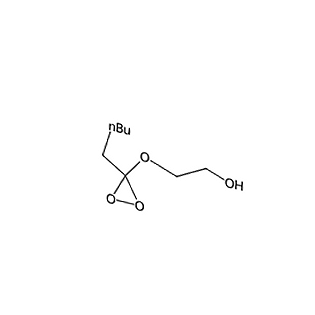 CCCCCC1(OCCO)OO1